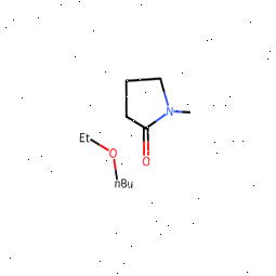 CN1CCCC1=O.[CH2]COCCCC